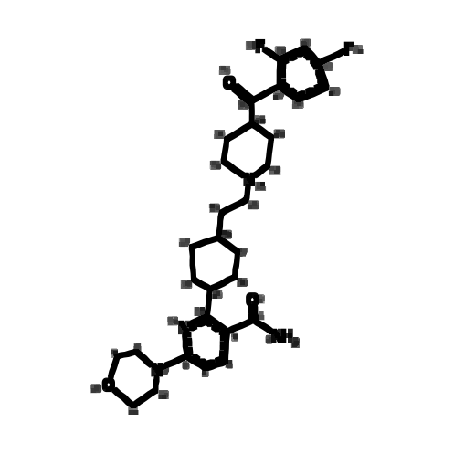 NC(=O)c1ccc(N2CCOCC2)nc1C1CCC(CCN2CCC(C(=O)c3ccc(F)cc3F)CC2)CC1